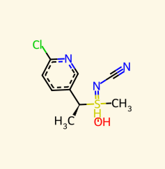 C[C@@H](c1ccc(Cl)nc1)[SH](C)(O)=NC#N